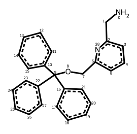 NCc1cccc(COC(c2ccccc2)(c2ccccc2)c2ccccc2)n1